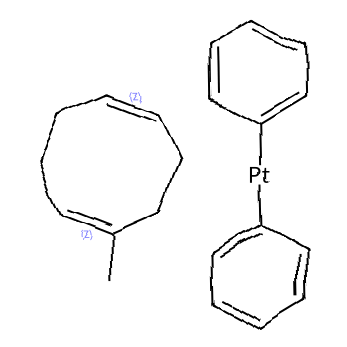 C/C1=C/CC/C=C\CC1.c1cc[c]([Pt][c]2ccccc2)cc1